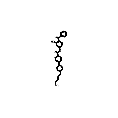 CCCCCC1CCC(c2ccc(C(=O)Oc3ccc(C(=O)c4ccccc4)c(O)c3)cc2)CC1